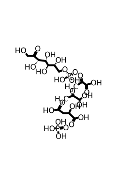 CC(=O)C(=O)O.CC(=O)C(O)O.O=C(CO)[C@@H](O)[C@H](O)[C@H](O)[C@H](O)COP(=O)(O)O.O=C(O)CC(O)C(=O)O.O=P(O)(O)O